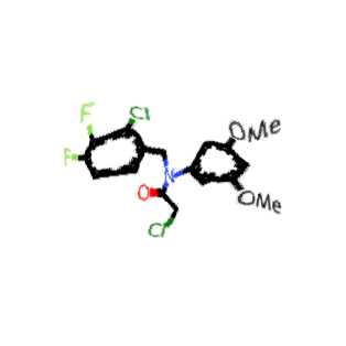 COc1cc(OC)cc(N(Cc2ccc(F)c(F)c2Cl)C(=O)CCl)c1